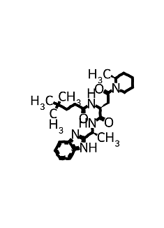 C[C@H](NC(=O)[C@H](CC(=O)N1CCCC[C@@H]1C)NC(=O)CCC(C)(C)C)c1nc2ccccc2[nH]1